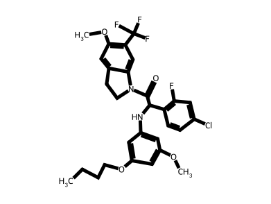 CCCCOc1cc(NC(C(=O)N2CCc3cc(OC)c(C(F)(F)F)cc32)c2ccc(Cl)cc2F)cc(OC)c1